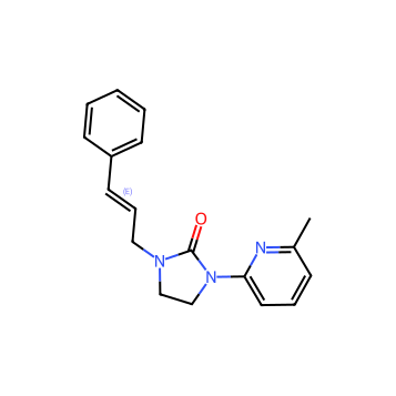 Cc1cccc(N2CCN(C/C=C/c3ccccc3)C2=O)n1